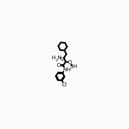 N[C@H](CC1CCCCC1)C(OS)C(=O)Nc1cccc(Cl)c1